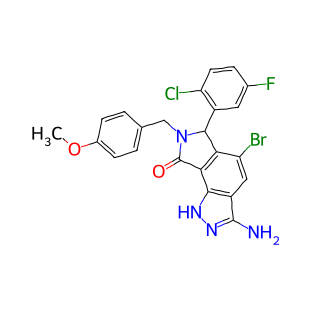 COc1ccc(CN2C(=O)c3c(c(Br)cc4c(N)n[nH]c34)C2c2cc(F)ccc2Cl)cc1